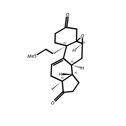 CSCC[C@]12CCC(=O)CC13O[C@H]3C[C@@H]1C2=CC[C@]2(C)C(=O)CC[C@@H]12